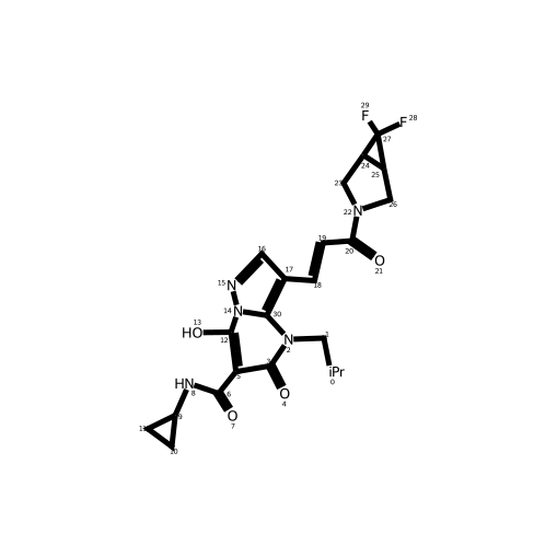 CC(C)Cn1c(=O)c(C(=O)NC2CC2)c(O)n2ncc(/C=C/C(=O)N3CC4C(C3)C4(F)F)c12